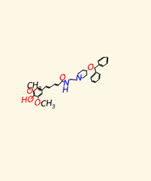 COc1cc(C=CC=CC(=O)NCCN2CCC(OC(c3ccccc3)c3ccccc3)CC2)cc(OC)c1O